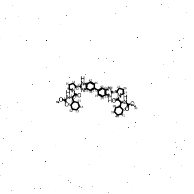 COC(=O)N[C@H](C(=O)N1CCC[C@H]1c1nc2cc(-c3ccc4[nH]c([C@@H]5CCCN5C(=O)[C@@H](NC(=O)OC)C5CCCCC5)nc4c3)ccc2[nH]1)C1CCCCC1